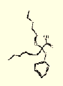 CCCCCC(OCCOCC)(Oc1ccccc1)C(=O)O